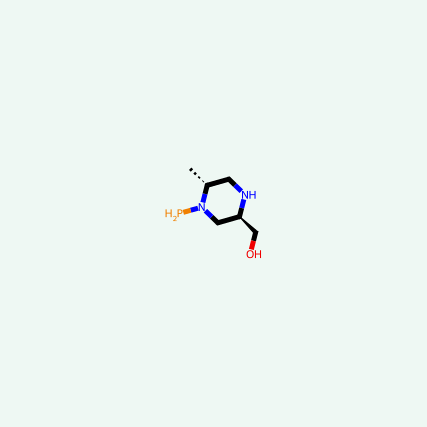 C[C@@H]1CN[C@@H](CO)CN1P